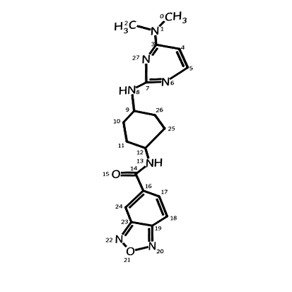 CN(C)c1ccnc(NC2CCC(NC(=O)c3ccc4nonc4c3)CC2)n1